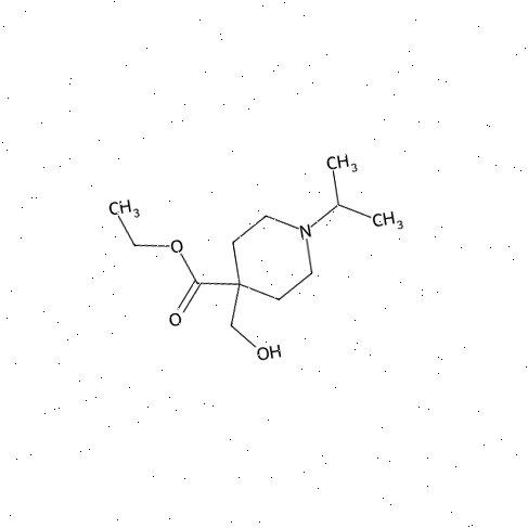 CCOC(=O)C1(CO)CCN(C(C)C)CC1